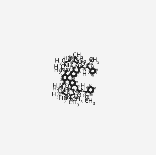 CNC(C)C(=O)NC(C(=O)N1Cc2cc(-c3c(C(N)=O)ccc(C(N)=O)c3-c3ccc4c(c3)CN(C(=O)C(NC(=O)C(C)NC)C(C)(C)C)C(C(=O)N[C@@H](COC)c3ccccc3)C4)ccc2CC1C(=O)N[C@@H](COC)c1ccccc1)C(C)(C)C